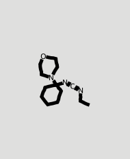 CCN=C=NC1(N2CCOCC2)CCCCC1